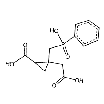 O=C(O)CC1(CP(=O)(O)c2ccccc2)CC1C(=O)O